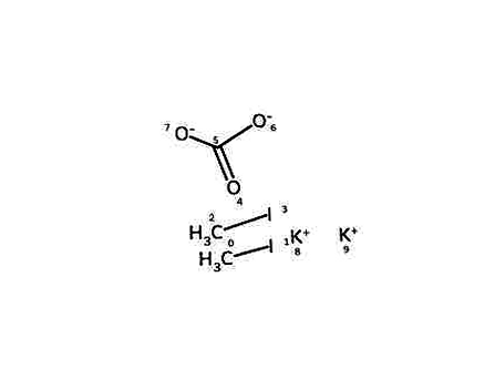 CI.CI.O=C([O-])[O-].[K+].[K+]